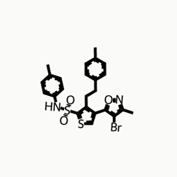 Cc1ccc(CCc2c(-c3onc(C)c3Br)csc2S(=O)(=O)Nc2ccc(C)cc2)cc1